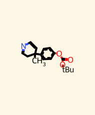 CC(C)(C)OC(=O)Oc1ccc(C2(C)C=CN=CC2)cc1